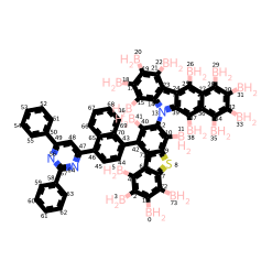 Bc1c(B)c(B)c2c(sc3c(B)c(-n4c5c(B)c(B)c(B)c(B)c5c5c(B)c6c(B)c(B)c(B)c(B)c6c(B)c54)c(B)c(-c4ccc(-c5cc(-c6ccccc6)nc(-c6ccccc6)n5)c5ccccc45)c32)c1B